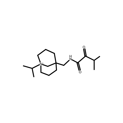 CC(C)C(=O)C(=O)NCC12CCC[N+](C(C)C)(CCC1)C2